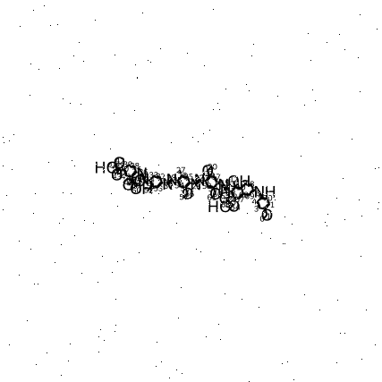 COc1ccc(Nc2ccc3c(O)c(N=Nc4cc(OC)c(N=Nc5cc(C)c(N=Nc6ccc(N=Nc7ccc(S(=O)(=O)O)cc7S(=O)(=O)O)c(C)c6)cc5OC)cc4OC)c(S(=O)(=O)O)cc3c2)cc1